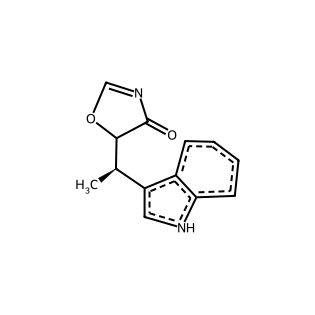 C[C@H](c1c[nH]c2ccccc12)C1OC=NC1=O